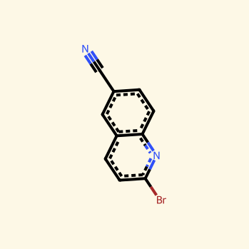 N#Cc1ccc2nc(Br)ccc2c1